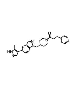 Cc1[nH]ncc1-c1ccc2c(cnn2CC2CCN(C(=O)CCc3ccccc3)CC2)c1